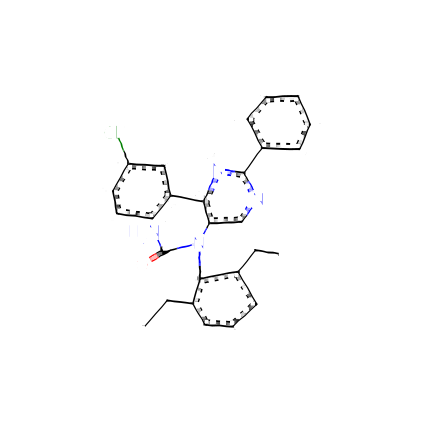 CCc1cccc(CC)c1N(C(N)=O)c1cnc(-c2ccccc2)nc1-c1cccc(Cl)c1